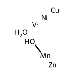 O.[Cu].[Ni].[OH][Mn].[V].[Zn]